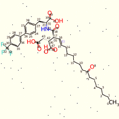 CCCCCCCC(=O)CCCCCC/C=C/[C@H](C(=O)N[C@@H](Cc1ccc(-c2ccc(C(F)(F)F)cc2)cc1)C(=O)O)[C@@H](CC(=O)O)C(=O)O